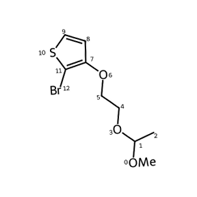 COC(C)OCCOc1ccsc1Br